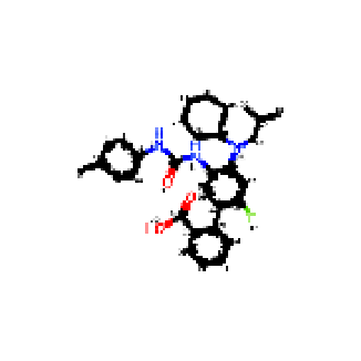 Cc1ccc(NC(=O)Nc2cc(-c3ccccc3C(=O)O)c(F)cc2N(CC(C)C)C2CCCCC2)cc1